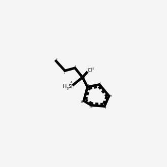 CCCC([SiH3])(Cl)c1ccccc1